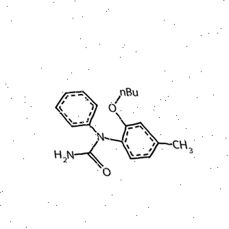 CCCCOc1cc(C)ccc1N(C(N)=O)c1ccccc1